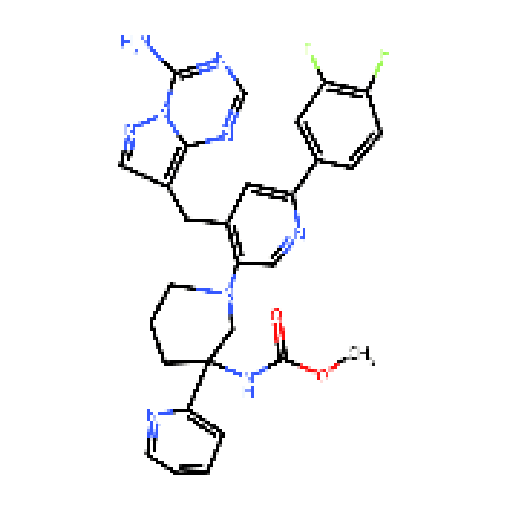 COC(=O)NC1(c2ccccn2)CCCN(c2cnc(-c3ccc(F)c(F)c3)cc2Cc2cnn3c(N)ncnc23)C1